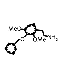 COc1ccc(CCN)c(OC)c1OCc1ccccc1